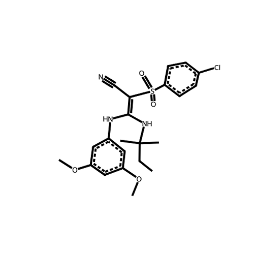 CCC(C)(C)N/C(Nc1cc(OC)cc(OC)c1)=C(/C#N)S(=O)(=O)c1ccc(Cl)cc1